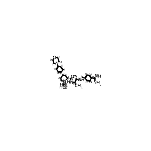 C[C@H](NC(=O)[C@H]1C[C@@H](c2ccc(N3CCOCC3)cc2)CCN1)C(=O)NCc1ccc(C(=N)N)cc1.Cl.Cl